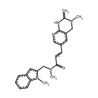 C=C1Nc2ncc(/C=C/C(=O)N(C)Cc3cc4ccccc4n3C)cc2CN1C